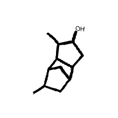 CC1CC2CC1C1C(C)C(O)CC21